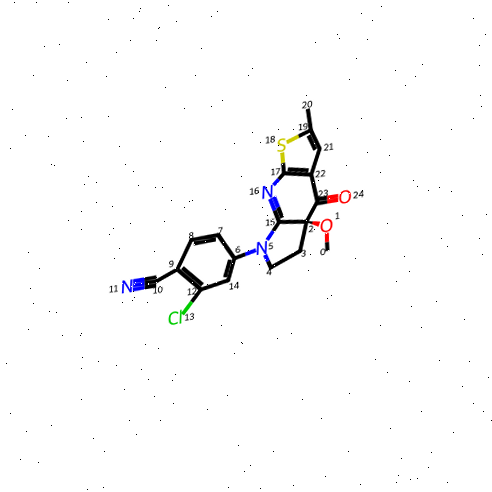 CO[C@@]12CCN(c3ccc(C#N)c(Cl)c3)C1=Nc1sc(C)cc1C2=O